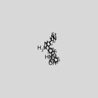 CCn1cc(-c2cnc(N)c(-c3ccc(C(=O)NC(CO)c4ccccc4)c(F)c3)c2)cn1